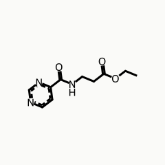 CCOC(=O)CCNC(=O)c1ccncn1